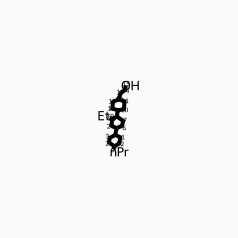 CCCC1CCC(C2CCC(C3CCC(CCO)CC3)C(CC)C2)CC1